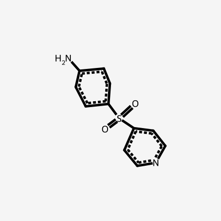 Nc1ccc(S(=O)(=O)c2ccncc2)cc1